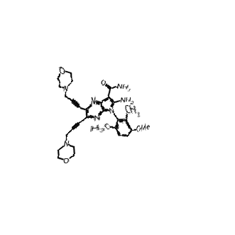 COc1ccc(C)c(-n2c(N)c(C(N)=O)c3nc(C#CCN4CCOCC4)c(C#CCN4CCOCC4)nc32)c1C